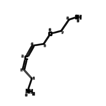 NCC=C=CCOCCS